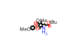 COC(=O)c1c(C)c(C=CC(=O)OC(C)(C)C)c(N)c(C)c1S(=O)(=O)c1ccc(OC)cc1